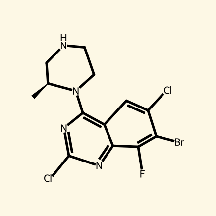 C[C@H]1CNCCN1c1nc(Cl)nc2c(F)c(Br)c(Cl)cc12